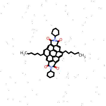 CCCCCCc1cc2cc3c(=O)n(C4CCCCC4)c(=O)c4cc5c(CCCCCC)cc6cc7c(=O)n(C8CCCCC8)c(=O)c8cc1c1c2c(c34)c5c6c1c78